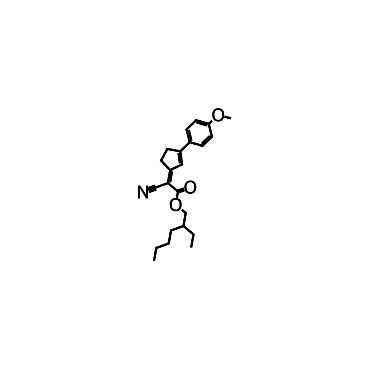 CCCCC(CC)COC(=O)C(C#N)=C1C=C(c2ccc(OC)cc2)CC1